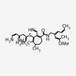 C\C=C/C=C(\C=C(/C)OC)CNC(=O)C1=C(C=N)C(S/C(=C/C)CC(=N)/C=C\N)=C(C)C(C)CC1